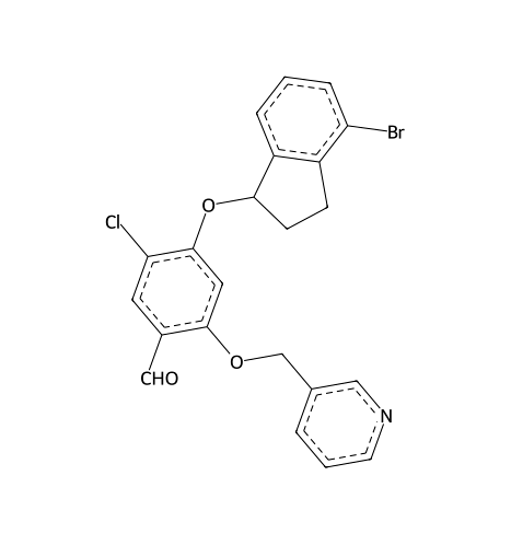 O=Cc1cc(Cl)c(OC2CCc3c(Br)cccc32)cc1OCc1cccnc1